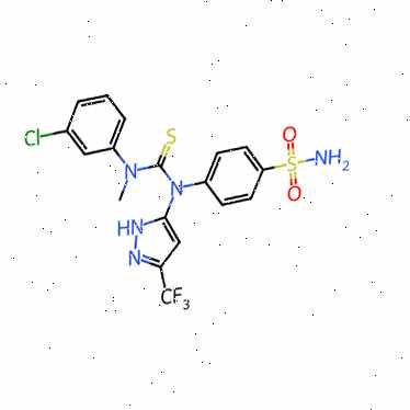 CN(C(=S)N(c1ccc(S(N)(=O)=O)cc1)c1cc(C(F)(F)F)n[nH]1)c1cccc(Cl)c1